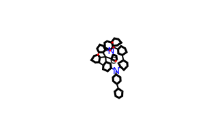 c1ccc(-c2ccc(N(c3cccc(-c4cccc(-c5ccccc5)c4)c3)c3ccc4c(c3)C3(c5ccccc5-4)c4ccccc4N(c4ccccc4)c4ccccc43)cc2)cc1